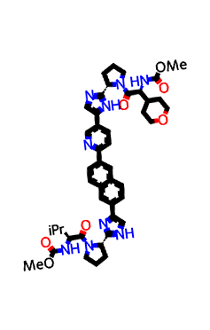 COC(=O)N[C@H](C(=O)N1CCC[C@H]1c1nc(-c2ccc3cc(-c4ccc(-c5cnc([C@@H]6CCCN6C(=O)[C@@H](NC(=O)OC)C6CCOCC6)[nH]5)cn4)ccc3c2)c[nH]1)C(C)C